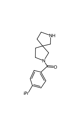 CC(C)c1ccc(C(=O)N2CCC3(CCNC3)C2)cc1